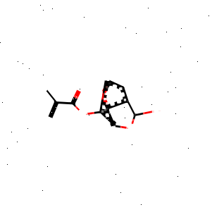 C=C(C)C(=O)Oc1c2c3oc1cc3C(O)O2